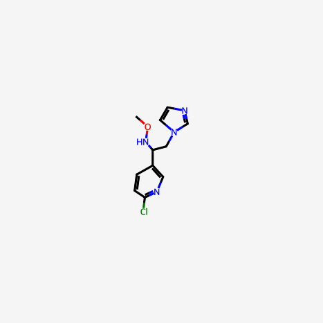 CONC(Cn1ccnc1)c1ccc(Cl)nc1